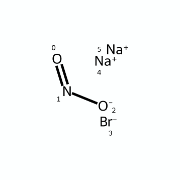 O=N[O-].[Br-].[Na+].[Na+]